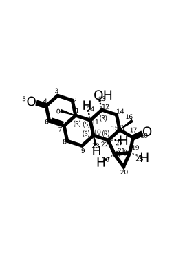 C[C@]12CCC(=O)C=C1CC[C@@H]1[C@@H]2[C@H](O)C[C@]2(C)C(=O)[C@H]3C[C@H]3[C@@H]12